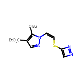 CCOC(=O)c1cnn(/C=C\SC2=CN=N2)c1OCC(C)C